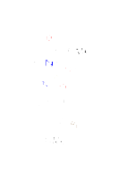 COC(=O)N1CCN(c2ccc(OC)c(Br)c2)S1(=O)=O